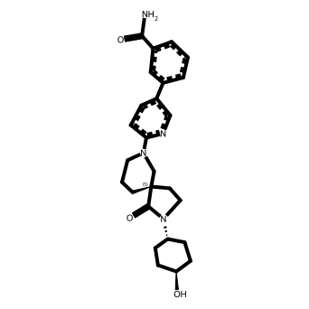 NC(=O)c1cccc(-c2ccc(N3CCC[C@]4(CCN([C@H]5CC[C@H](O)CC5)C4=O)C3)nc2)c1